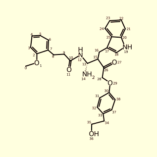 COc1ccccc1CCC(=O)N[C@@H](N)C(Cc1c[nH]c2ccccc12)C(=O)COc1ccc(CCO)cc1